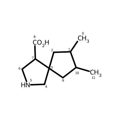 CC1CC2(CNCC2C(=O)O)CC1C